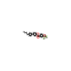 CCCCc1ccc(-c2ccc(OC(=O)c3ccc(OC(F)F)cc3)cc2)cc1